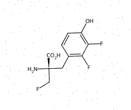 N[C@@](CF)(Cc1ccc(O)c(F)c1F)C(=O)O